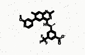 COc1cc(-c2cc3c(N[C@H](C)c4cc([N+](=O)[O-])cc(C(F)(F)F)c4)nc(C)nc3cc2C)ccn1